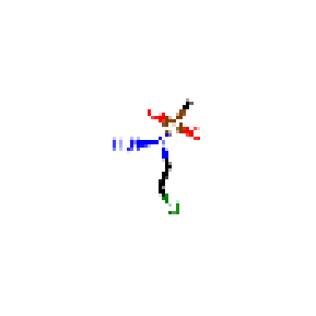 CS(=O)(=O)N(N)CCCl